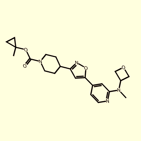 CN(c1cc(-c2cc(C3CCN(C(=O)OC4(C)CC4)CC3)no2)ccn1)C1COC1